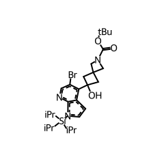 CC(C)[Si](C(C)C)(C(C)C)n1ccc2c(C3(O)CC4(CN(C(=O)OC(C)(C)C)C4)C3)c(Br)cnc21